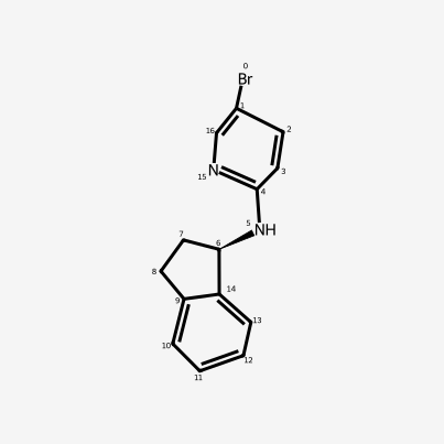 Brc1ccc(N[C@@H]2CCc3ccccc32)nc1